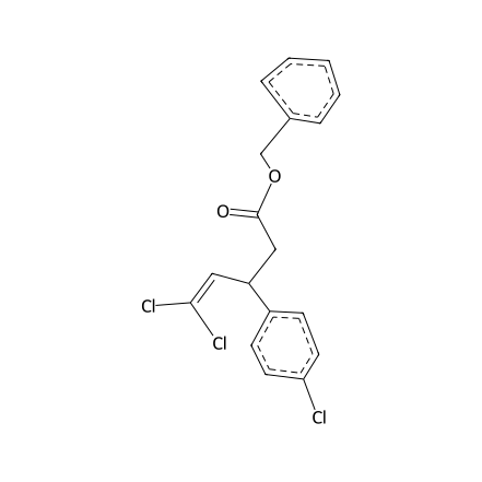 O=C(CC(C=C(Cl)Cl)c1ccc(Cl)cc1)OCc1ccccc1